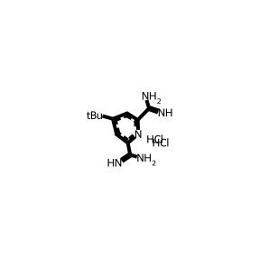 CC(C)(C)c1cc(C(=N)N)nc(C(=N)N)c1.Cl.Cl